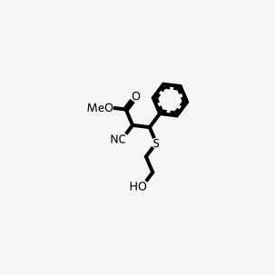 COC(=O)C(C#N)C(SCCO)c1ccccc1